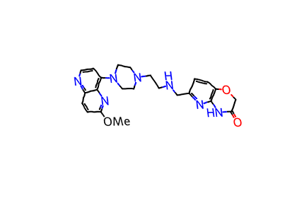 COc1ccc2nccc(N3CCN(CCNCc4ccc5c(n4)NC(=O)CO5)CC3)c2n1